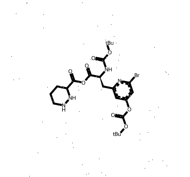 CC(C)(C)OC(=O)N[C@@H](Cc1cc(OC(=O)OC(C)(C)C)cc(Br)n1)C(=O)OC(=O)C1CCCNN1